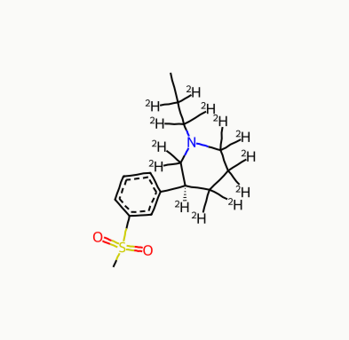 [2H]C([2H])(C)C([2H])([2H])N1C([2H])([2H])C([2H])([2H])C([2H])([2H])[C@@]([2H])(c2cccc(S(C)(=O)=O)c2)C1([2H])[2H]